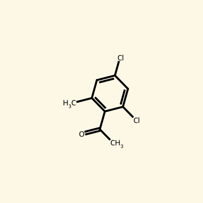 CC(=O)c1c(C)cc(Cl)cc1Cl